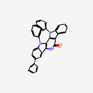 O=c1[nH]c2c3cc(-c4ccccc4)ccc3n(-c3ccccc3)c2c2c1c1ccccc1n2-c1ccccc1